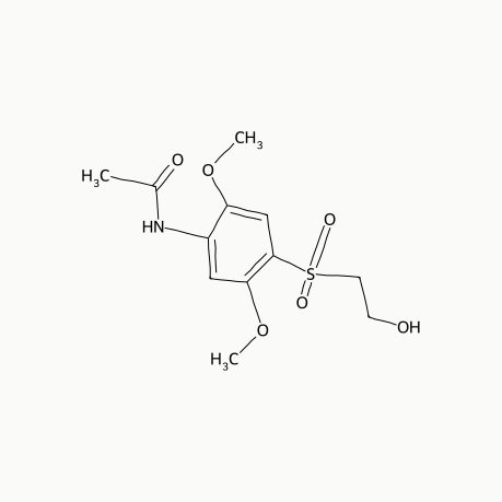 COc1cc(S(=O)(=O)CCO)c(OC)cc1NC(C)=O